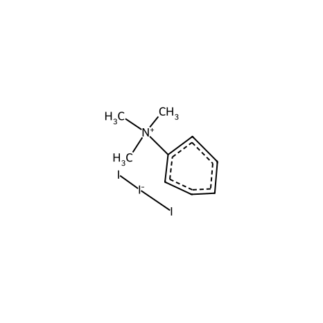 C[N+](C)(C)c1ccccc1.I[I-]I